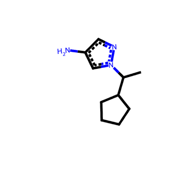 CC(C1CCCC1)n1cc(N)cn1